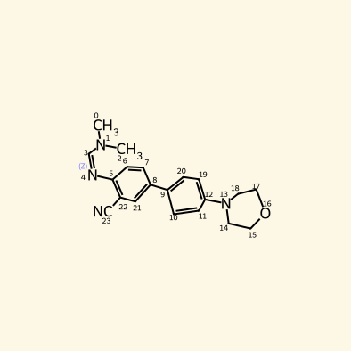 CN(C)/C=N\c1ccc(-c2ccc(N3CCOCC3)cc2)cc1C#N